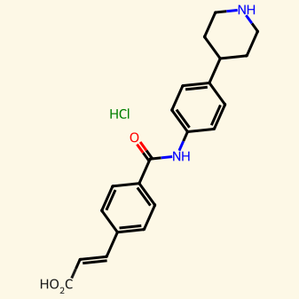 Cl.O=C(O)C=Cc1ccc(C(=O)Nc2ccc(C3CCNCC3)cc2)cc1